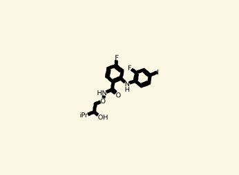 CC(C)C(O)CONC(=O)c1ccc(F)cc1Nc1ccc(I)cc1F